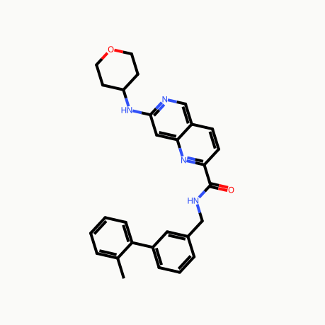 Cc1ccccc1-c1cccc(CNC(=O)c2ccc3cnc(NC4CCOCC4)cc3n2)c1